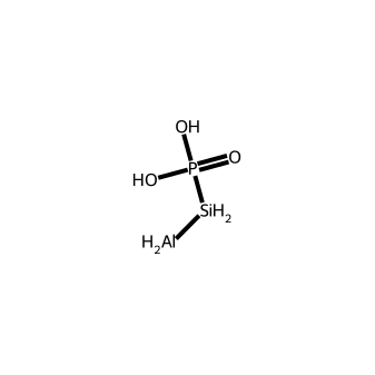 O=P(O)(O)[SiH2][AlH2]